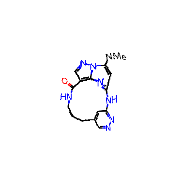 CNc1cc2nc3c(cnn13)C(=O)NCCCc1cnnc(c1)N2